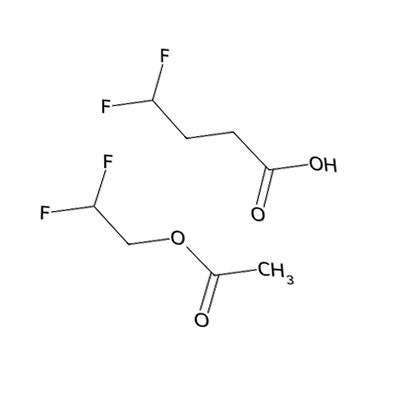 CC(=O)OCC(F)F.O=C(O)CCC(F)F